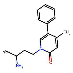 CCCC(N)CCn1cc(-c2ccccc2)c(C)cc1=O